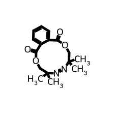 CC1(C)COC(=O)c2ccccc2C(=O)OCC(C)(C)N=N1